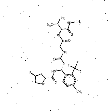 CNC(=O)[C@@H](NC(=O)CNC(=O)C[C@@H](NC(=O)[C@H]1C[C@H](F)CN1)c1ccc(C)cc1C(F)(F)F)C(C)C